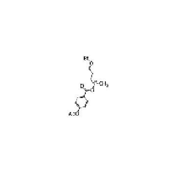 CCOCCC[C@@H](C)OC(=O)c1ccc(OC(C)=O)cc1